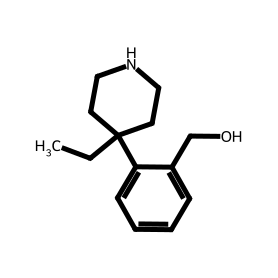 CCC1(c2ccccc2CO)CCNCC1